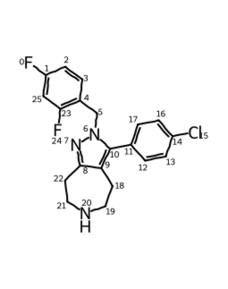 Fc1ccc(Cn2nc3c(c2-c2ccc(Cl)cc2)CCNCC3)c(F)c1